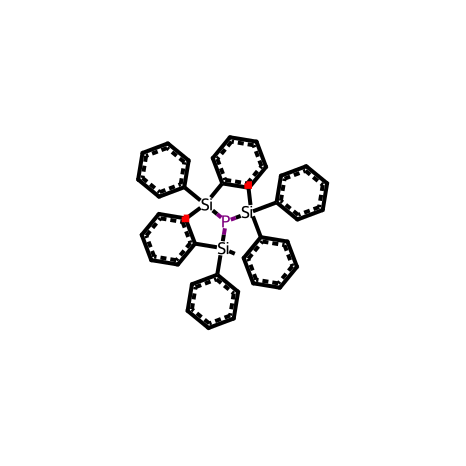 C[Si](c1ccccc1)(c1ccccc1)P([Si](C)(c1ccccc1)c1ccccc1)[Si](C)(c1ccccc1)c1ccccc1